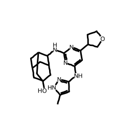 Cc1cc(Nc2cc(C3CCOC3)nc(NC3C4CC5CC3CC(O)(C5)C4)n2)n[nH]1